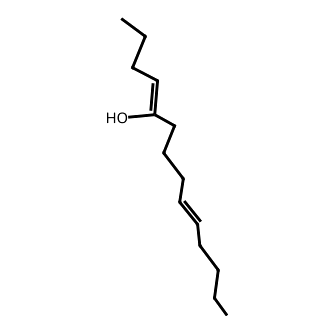 CCC/C=C(\O)CCCC=CCCCC